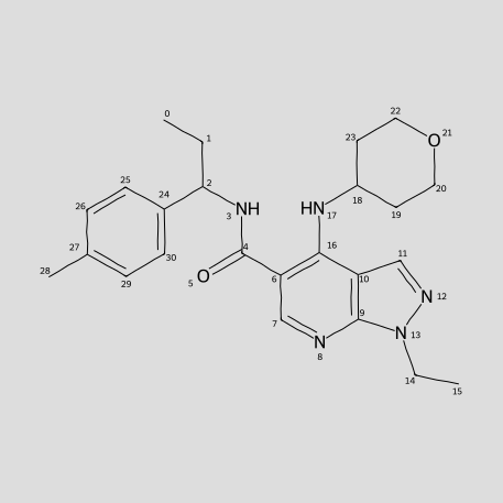 CCC(NC(=O)c1cnc2c(cnn2CC)c1NC1CCOCC1)c1ccc(C)cc1